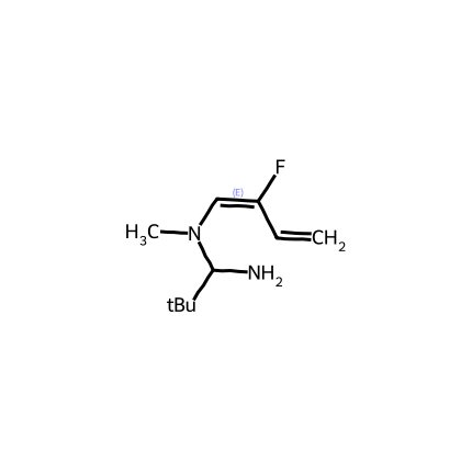 C=C/C(F)=C\N(C)C(N)C(C)(C)C